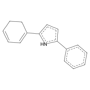 C1=CCCC(c2ccc(-c3ccccc3)[nH]2)=C1